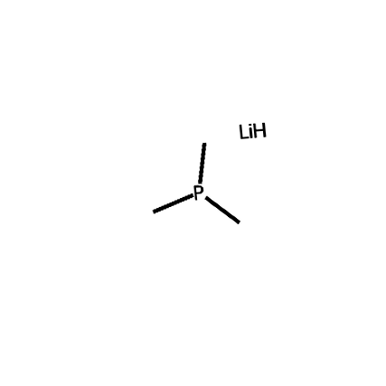 CP(C)C.[LiH]